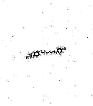 CC(C)(C)[Si](C)(C)Oc1ccc(OCCCCCCOc2ccc(Br)cc2)cc1